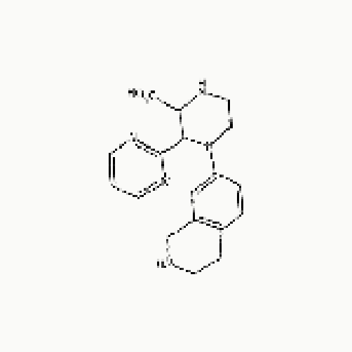 O=C(O)C1NCCN(c2ccc3c(c2)CNCC3)C1c1ncccn1